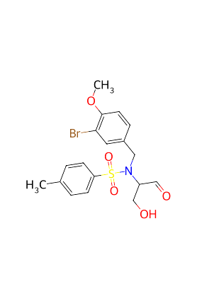 COc1ccc(CN(C(C=O)CO)S(=O)(=O)c2ccc(C)cc2)cc1Br